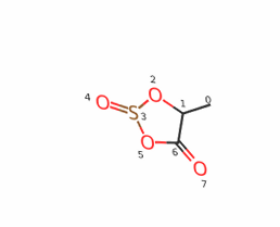 CC1OS(=O)OC1=O